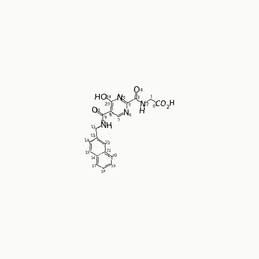 O=C(O)CNC(=O)c1ncc(C(=O)NCc2ccc3ccccc3c2)c(O)n1